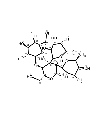 C[C@@H]1OC([C@]2(O)C(O)O[C@H](CO)[C@@H](O[C@@H]3O[C@H](CO)[C@H](O)[C@H](O)[C@H]3O)[C@@]2(O)C2O[C@@H](C)[C@@H](O)[C@@H](O)[C@@H]2O)[C@@H](O)[C@H](O)[C@@H]1O